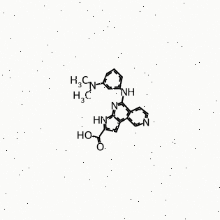 CN(C)c1cccc(Nc2nc3[nH]c(C(=O)O)cc3c3cnccc23)c1